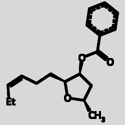 CC/C=C\CC[C@@H]1O[C@H](C)C[C@@H]1OC(=O)c1ccccc1